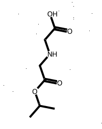 CC(C)OC(=O)CNCC(=O)O